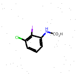 O=C(O)Nc1cccc(Cl)c1I